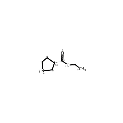 CCOC(=O)[C@H]1CCNC1